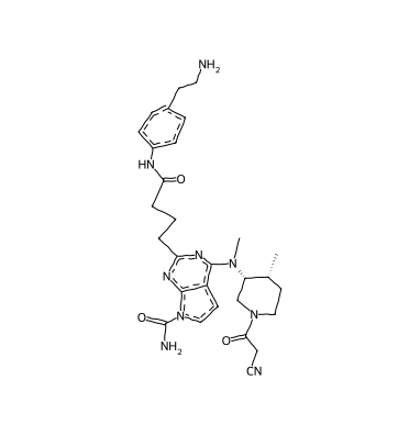 C[C@@H]1CCN(C(=O)CC#N)C[C@@H]1N(C)c1nc(CCCC(=O)Nc2ccc(CCN)cc2)nc2c1ccn2C(N)=O